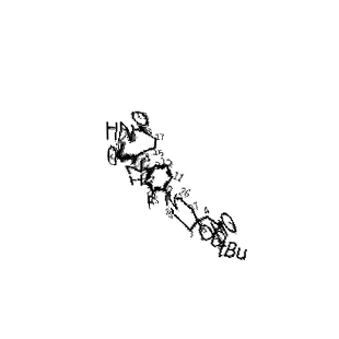 CC(C)(C)OC(=O)CC1(O)CCN(c2ccc(NC3CCC(=O)NC3=O)cc2F)CC1